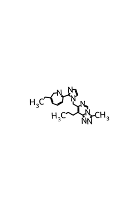 CCCc1c(Cn2ccnc2C2=NCC(CC)=CC=C2)ncn2c(C)nnc12